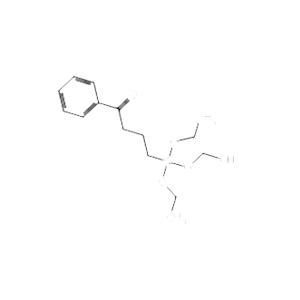 CCO[Si](CCCC(=O)c1ccccc1)(OCC)OCC